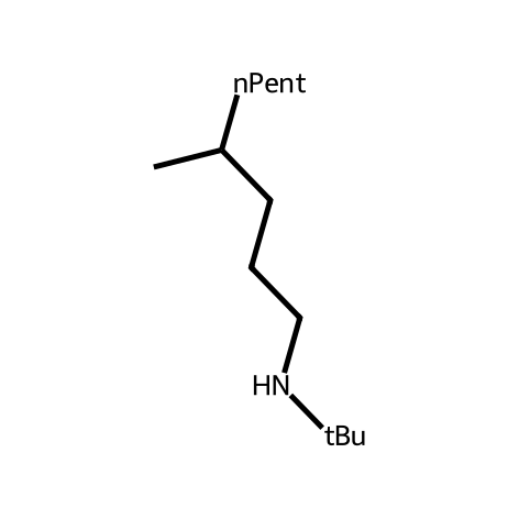 CCCCCC(C)CCCNC(C)(C)C